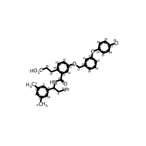 Cc1cc(C)cc(C(CC(C)C)NC(=O)c2cc(OCc3cccc(Oc4ccc(Cl)cc4)c3)ccc2CCC(=O)O)c1